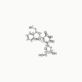 CC(C)CC(OCc1cn([C@H]2C[C@@H](O)[C@@H](CO)O2)c(=O)[nH]c1=O)c1ccccc1[N+](=O)[O-]